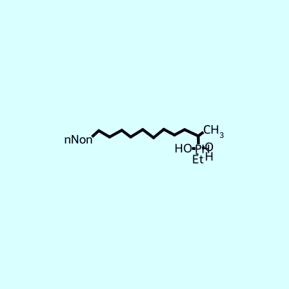 CCCCCCCCCCCCCCCCCCC(C)[PH](O)(O)CC